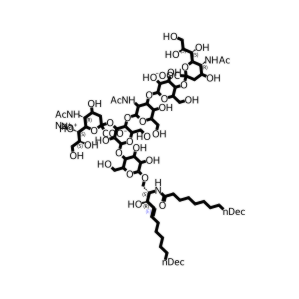 CCCCCCCCCCCCCCC/C=C/[C@@H](O)[C@H](COC1OC(CO)C(OC2OC(CO)C(OC3OC(CO)C(O)C(OC4OC(CO)C(OC5(C(=O)[O-])CC(O)[C@@H](NC(C)=O)C([C@@H](O)[C@@H](O)CO)O5)C(O)C4O)C3NC(C)=O)C(OC3(C(=O)[O-])CC(O)[C@@H](NC(C)=O)C([C@@H](O)[C@@H](O)CO)O3)C2O)C(O)C1O)NC(=O)CCCCCCCCCCCCCCCCC.[Na+].[Na+]